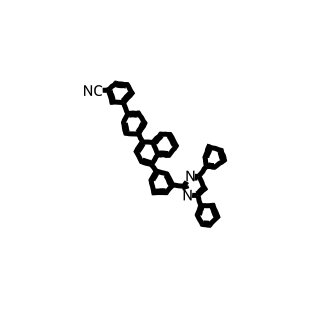 N#Cc1cccc(-c2ccc(-c3ccc(-c4cccc(-c5nc(-c6ccccc6)cc(-c6ccccc6)n5)c4)c4ccccc34)cc2)c1